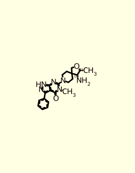 C[C@@H]1OCC2(CCN(c3nc4[nH]nc(-c5ccccc5)c4c(=O)n3C)CC2)[C@@H]1N